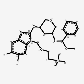 COC(O[C@@H]1COC[C@H](Oc2nc3cc(I)c(Cl)cc3n2COCC[Si](C)(C)C)C1)c1ccccc1